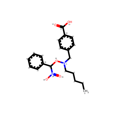 CCCCCN(Cc1ccc(C(=O)O)cc1)OC(c1ccccc1)[N+](=O)[O-]